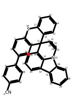 N#Cc1ccc(-c2ccc3c(c2)C2(c4ccccc4S3)c3ccccc3-n3c4ccccc4c4cccc2c43)cc1